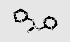 O=[PH](Oc1ncncn1)Oc1ncncn1